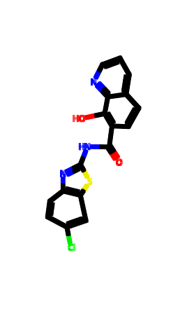 O=C(Nc1nc2ccc(Cl)cc2s1)c1ccc2cccnc2c1O